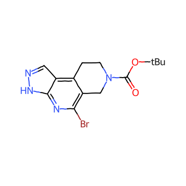 CC(C)(C)OC(=O)N1CCc2c(c(Br)nc3[nH]ncc23)C1